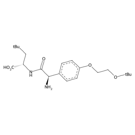 CC(C)(C)C[C@H](NC(=O)[C@H](N)c1ccc(OCCOC(C)(C)C)cc1)C(=O)O